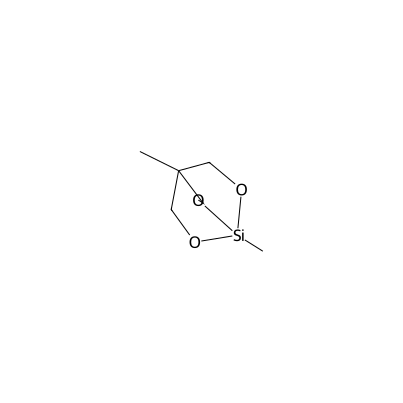 CC12CO[Si](C)(OC1)OC2